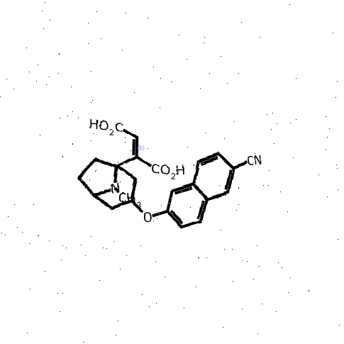 CN1C2CCC1(/C(=C\C(=O)O)C(=O)O)CC(Oc1ccc3cc(C#N)ccc3c1)C2